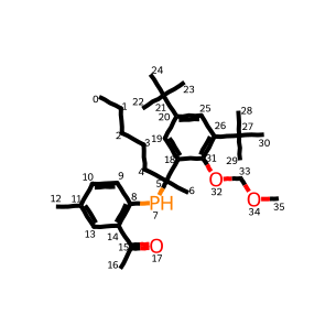 CCCCCC(C)(Pc1ccc(C)cc1C(C)=O)c1cc(C(C)(C)C)cc(C(C)(C)C)c1OCOC